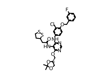 CC1(C)OC[C@H](COc2ncnc(Nc3ccc(OCc4cccc(F)c4)c(Cl)c3)c2NC(=O)CC2CCSS2)O1